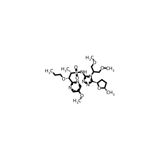 CCCO[C@@H](c1ncc(OC)cn1)[C@H](C)S(=O)(=O)Nc1nnc([C@H]2CC[C@@H](C)O2)n1C(COC)COC